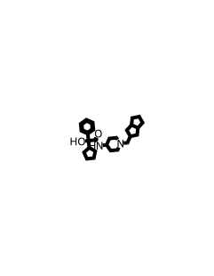 O=C(NC1CCN(CC2CC3CCCC3C2)CC1)C(O)(c1ccccc1)C1CCCC1